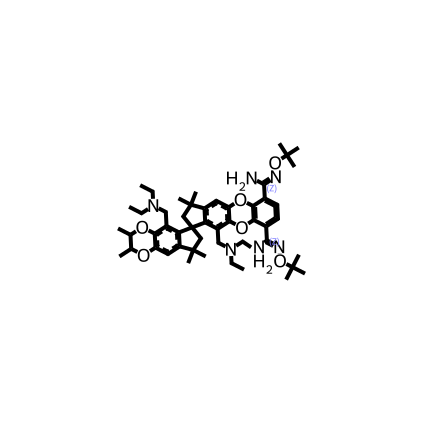 CCN(CC)Cc1c2c(cc3c1C1(CC3(C)C)CC(C)(C)c3cc4c(c(CN(CC)CC)c31)OC(C)C(C)O4)OC1=C(O2)C(/C(N)=N/OC(C)(C)C)=C=C=C1/C(N)=N/OC(C)(C)C